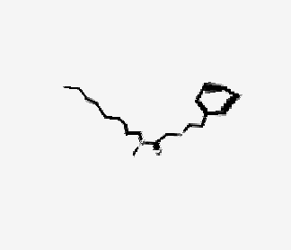 CCCCCCCCN(C)C(=O)CSCCc1ccccc1